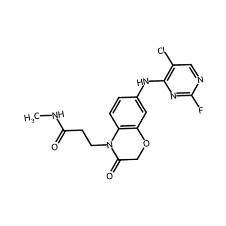 CNC(=O)CCN1C(=O)COc2cc(Nc3nc(F)ncc3Cl)ccc21